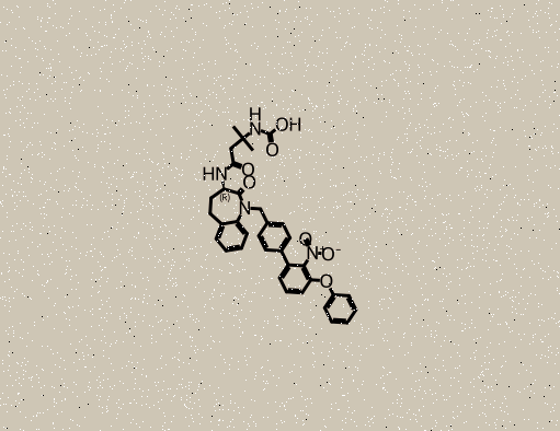 CC(C)(CC(=O)N[C@@H]1CCc2ccccc2N(Cc2ccc(-c3cccc(Oc4ccccc4)c3[N+](=O)[O-])cc2)C1=O)NC(=O)O